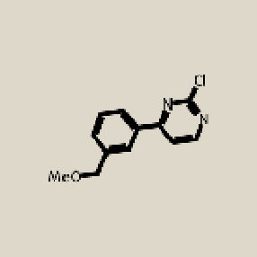 COCc1cccc(-c2ccnc(Cl)n2)c1